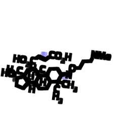 CNCCCO/N=C1\CC[C@@]2(C)C(CC[C@H]3[C@@H]4CC[C@H](O)[C@@]4(C)CC[C@@H]32)C1(C)C.O=C(O)/C=C/C(=O)O